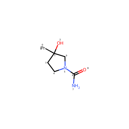 CC(C)C1(O)CCN(C(N)=O)C1